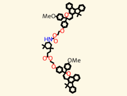 COc1ccc(C2(c3ccc(OCCOC(=O)CCC4(C)CC(NC(=O)OCCOc5ccc(C6(c7ccc(OC)cc7)C=Cc7c8c(c9ccccc9c7O6)-c6ccccc6C8(C)C)cc5)CC(C)(C)C4)cc3)C=Cc3c4c(c5ccccc5c3O2)-c2ccccc2C4(C)C)cc1